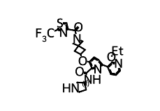 CCOc1ncccc1-c1ccc(OC2CC3(C2)CN(C(=O)c2csc(C(F)(F)F)n2)C3)c(C(=O)N[C@@H]2CCNC2)n1